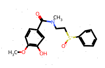 COc1ccc(C(=O)N(C)CC[S+]([O-])c2ccccc2)cc1O